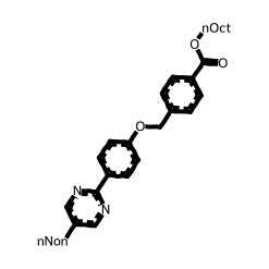 CCCCCCCCCc1cnc(-c2ccc(OCc3ccc(C(=O)OCCCCCCCC)cc3)cc2)nc1